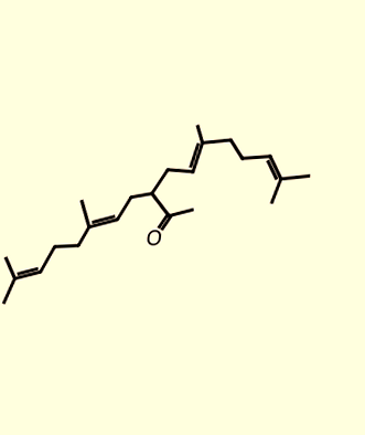 CC(=O)C(C/C=C(\C)CCC=C(C)C)C/C=C(\C)CCC=C(C)C